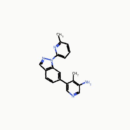 Cc1cccc(-n2ncc3ccc(-c4cncc(N)c4C)cc32)n1